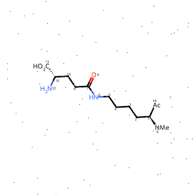 CN[C@@H](CCCCNC(=O)CC[C@H](N)C(=O)O)C(C)=O